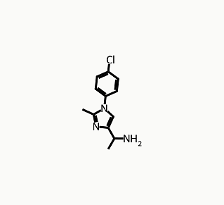 Cc1nc(C(C)N)cn1-c1ccc(Cl)cc1